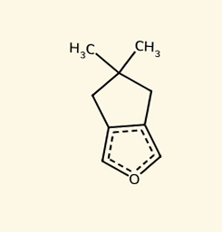 CC1(C)Cc2cocc2C1